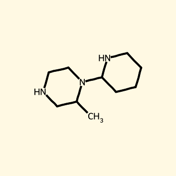 CC1CNCCN1C1CCCCN1